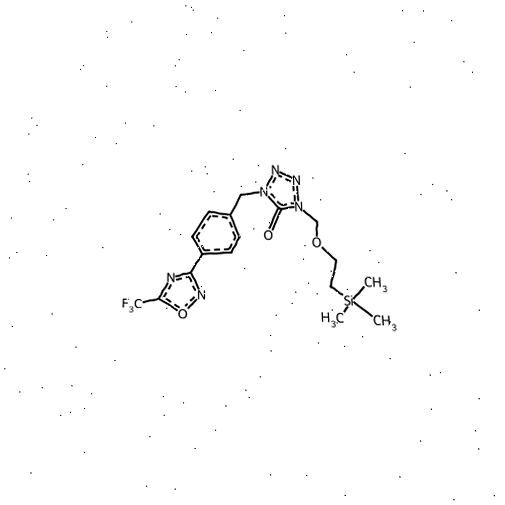 C[Si](C)(C)CCOCn1nnn(Cc2ccc(-c3noc(C(F)(F)F)n3)cc2)c1=O